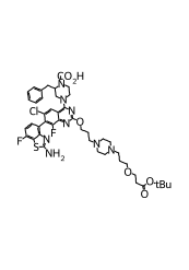 CC(C)(C)OC(=O)CCOCCCN1CCN(CCCOc2nc(N3CCN(C(=O)O)C(Cc4ccccc4)C3)c3cc(Cl)c(-c4ccc(F)c5sc(N)nc45)c(F)c3n2)CC1